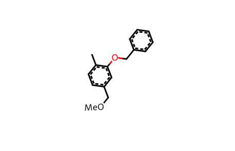 COCc1ccc(C)c(OCc2ccccc2)c1